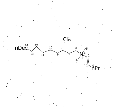 CCCC=C[N+](C)(C)CCCCCCCCCCCCCCCCCC.[Cl-]